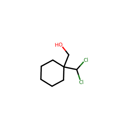 OCC1(C(Cl)Cl)CCCCC1